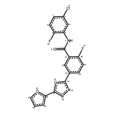 O=C(Nc1cc(Cl)ccc1F)c1cc(-c2nnc(-c3ccco3)o2)ccc1F